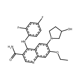 CCOc1cc2ncc(C(N)=O)c(Nc3ccc(F)cc3F)c2cc1N1CCC(O)C1